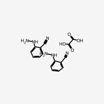 N#Cc1ccccc1NN.N#Cc1ccccc1NN.O=C(O)C(=O)O